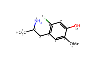 COc1cc(CC(N)C(=O)O)c(F)cc1O